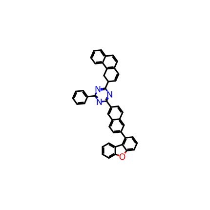 C1=CC(c2nc(-c3ccccc3)nc(-c3ccc4cc(-c5cccc6oc7ccccc7c56)ccc4c3)n2)Cc2c1ccc1ccccc21